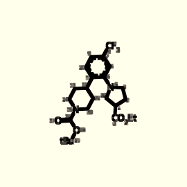 CCOC(=O)C1CCN(c2cc(C(F)(F)F)ccc2C2CCN(C(=O)OC(C)(C)C)CC2)C1